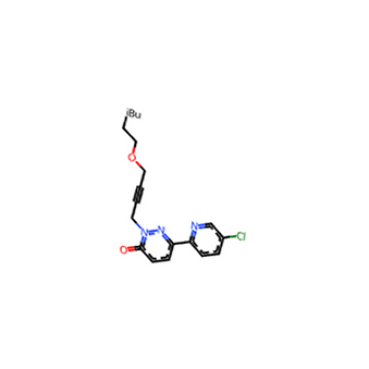 CCC(C)CCOCC#CCn1nc(-c2ccc(Cl)cn2)ccc1=O